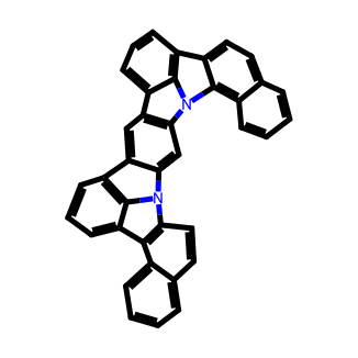 c1ccc2c(c1)ccc1c2c2cccc3c4cc5c6cccc7c8ccc9ccccc9c8n(c5cc4n1c32)c67